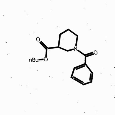 CCCCOC(=O)C1CCCN(C(=O)c2ccccc2)C1